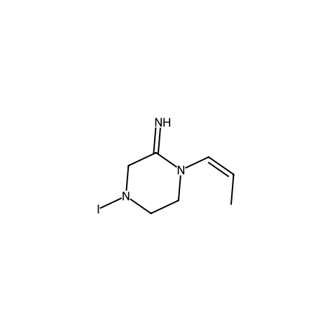 C/C=C\N1CCN(I)CC1=N